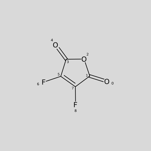 O=C1OC(=O)C(F)=C1F